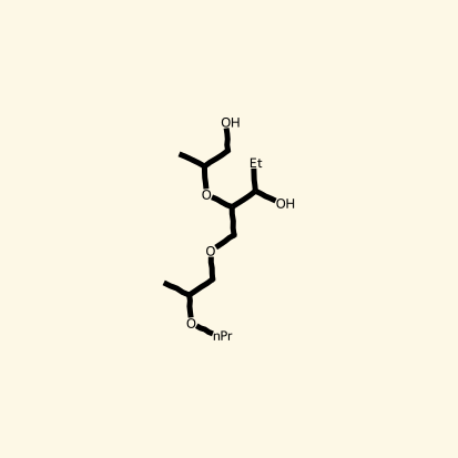 CCCOC(C)COCC(OC(C)CO)C(O)CC